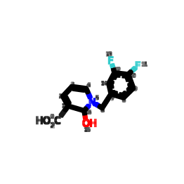 O=C(O)C1=CC=CN(Cc2ccc(F)c(F)c2)C1O